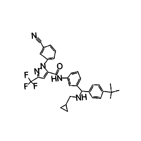 CC(C)(C)c1ccc(C(NCC2CC2)c2cccc(NC(=O)c3cc(C(F)(F)F)nn3-c3cccc(C#N)c3)c2)cc1